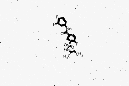 CC[C@H](C)NS(=O)(=O)c1cc(C(=O)Nc2ccc(F)c(F)c2)ccc1F